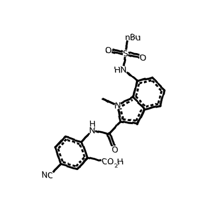 CCCCS(=O)(=O)Nc1cccc2cc(C(=O)Nc3ccc(C#N)cc3C(=O)O)n(C)c12